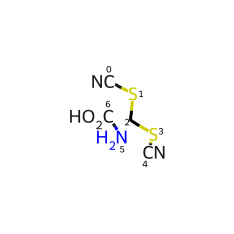 N#CSCSC#N.NC(=O)O